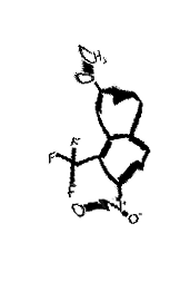 COc1ccc2ccc([N+](=O)[O-])c(C(F)(F)F)c2c1